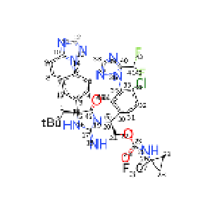 CC(C)(C)C[C@]1(c2ccc3c(ccc4ncnn43)c2)NC(=N)N([C@H](COC(=O)NC2(C(F)(F)F)CC2)c2ccc(Cl)c(-n3ncnc3C(F)F)c2)C1=O